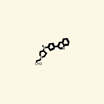 CN(c1ccc(-c2cnc3ccccc3c2)cc1)C1CCN(CCC=O)CC1